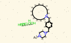 CC(=O)N1CCN(Cc2ccc(CN3CCCCCCCCCCCCC3)cc2)CC1.Cl.Cl.Cl.Cl.Cl